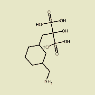 NCC1CCCC(CC(O)(P(=O)(O)O)P(=O)(O)O)C1